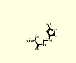 Cc1cc(NCNC(=N)N(C)C)cs1